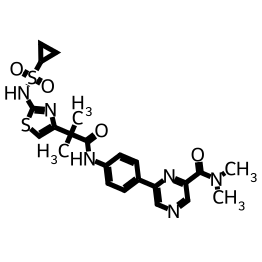 CN(C)C(=O)c1cncc(-c2ccc(NC(=O)C(C)(C)c3csc(NS(=O)(=O)C4CC4)n3)cc2)n1